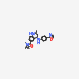 CC(=O)N(C)C(=O)c1ccc2c(c1)C(Nc1ccc(-c3ncco3)cc1)CC(C)N2